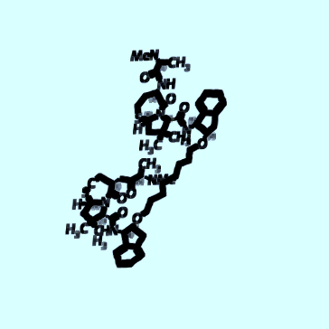 CN[C@@H](C)C(=O)C[C@H]1CCS[C@H]2CC(C)(C)[C@@H](C(=O)N[C@H]3c4ccccc4C[C@H]3OCCCCCCCCO[C@@H]3Cc4ccccc4[C@@H]3NC(=O)[C@H]3N4C(=O)[C@@H](NC(=O)[C@H](C)NC)CCS[C@H]4CC3(C)C)N2C1=O